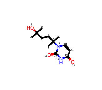 CC(C)(O)CCC(C)(C)n1ccc(=O)[nH]c1=O